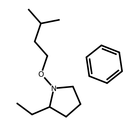 CCC1CCCN1OCCC(C)C.c1ccccc1